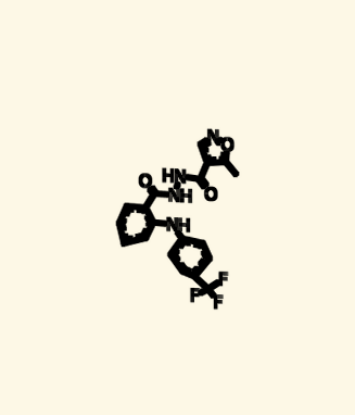 Cc1oncc1C(=O)NNC(=O)c1ccccc1Nc1ccc(C(F)(F)F)cc1